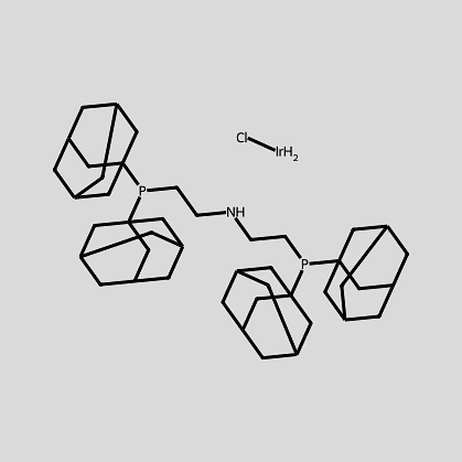 C(CP(C12CC3CC(CC(C3)C1)C2)C12CC3CC(CC(C3)C1)C2)NCCP(C12CC3CC(CC(C3)C1)C2)C12CC3CC(CC(C3)C1)C2.[Cl][IrH2]